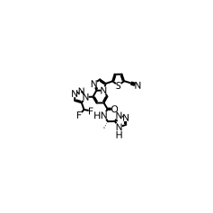 C[C@H](NC(=O)c1cc(-n2nncc2C(F)F)c2ncc(-c3ccc(C#N)s3)n2c1)c1nnc[nH]1